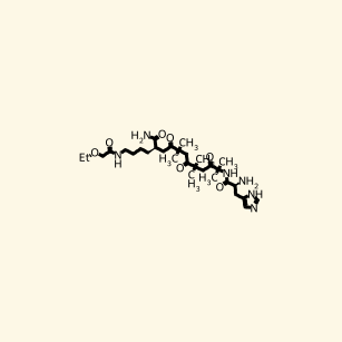 CCOCC(=O)NCCCC[C@H](CC(=O)C(C)(C)CC(=O)C(C)(C)CC(=O)C(C)(C)NC(=O)[C@@H](N)Cc1cnc[nH]1)C(N)=O